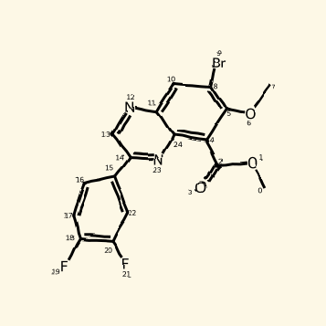 COC(=O)c1c(OC)c(Br)cc2ncc(-c3ccc(F)c(F)c3)nc12